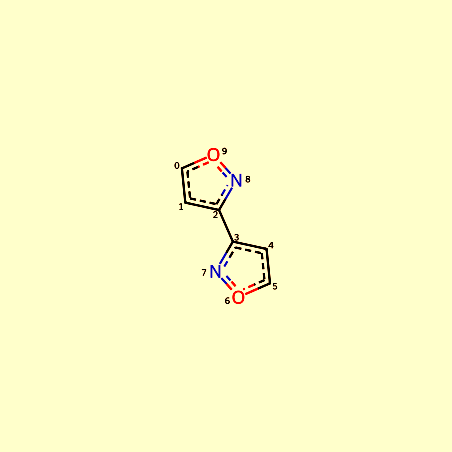 c1cc(-c2ccon2)no1